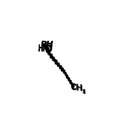 CCCCCCCCCCCCCCCCCCCCCCCCCCCCC(=O)NCCO